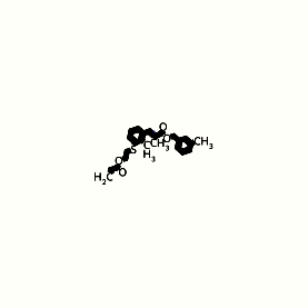 C=CC(=O)OCCSc1cccc(/C=C(\C)C(=O)OCc2cccc(C)c2)c1C